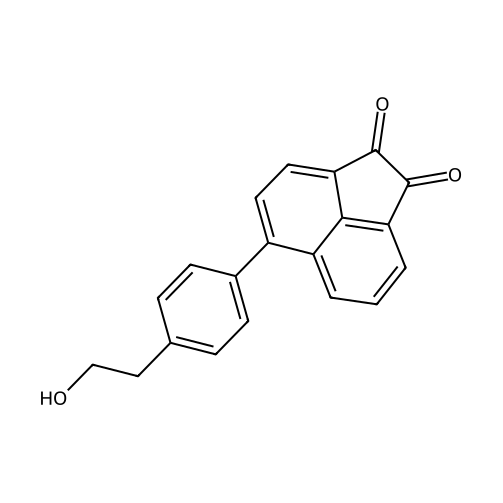 O=C1C(=O)c2ccc(-c3ccc(CCO)cc3)c3cccc1c23